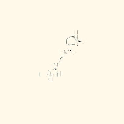 CC(C)(C)OC(=O)NCCONC(=O)[C@@H]1CCC2CN1C(=O)N2